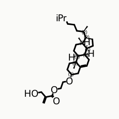 C=C(CO)C(=O)OCCO[C@H]1CC[C@@]2(C)C(=CC[C@H]3[C@@H]4CC[C@H]([C@H](C)CCCC(C)C)[C@@]4(C)CC[C@@H]32)C1